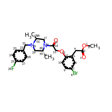 COC(=O)Cc1cc(Br)ccc1OCC(=O)N1C[C@H](C)N(Cc2ccc(F)cc2)C[C@H]1C